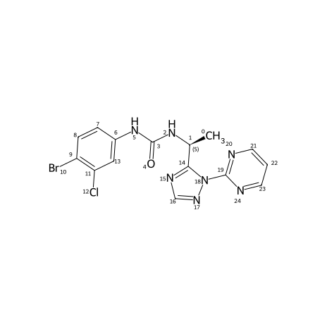 C[C@H](NC(=O)Nc1ccc(Br)c(Cl)c1)c1ncnn1-c1ncccn1